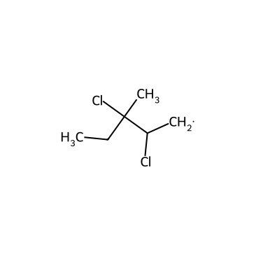 [CH2]C(Cl)C(C)(Cl)CC